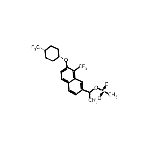 CC(OS(C)(=O)=O)c1ccc2ccc(O[C@H]3CC[C@@H](C(F)(F)F)CC3)c(C(F)(F)F)c2c1